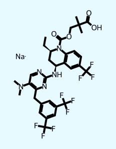 CC[C@@H]1C[C@H](Nc2ncc(N(C)C)c(Cc3cc(C(F)(F)F)cc(C(F)(F)F)c3)n2)c2cc(C(F)(F)F)ccc2N1C(=O)OCC(C)(C)C(=O)O.[Na]